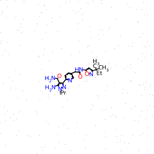 CCC(C)(C)c1cc(NC(=O)Cc2ccc(-c3nn(C(C)C)c(N)c3C(N)=O)nc2)on1